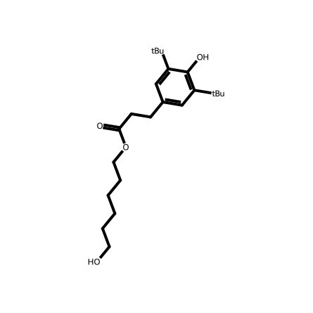 CC(C)(C)c1cc(CCC(=O)OCCCCCCO)cc(C(C)(C)C)c1O